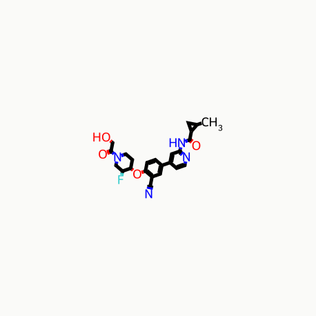 CC1CC1C(=O)Nc1cc(-c2ccc(OC3CCN(C(=O)CO)CC3F)c(C#N)c2)ccn1